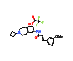 COc1cccc(C=CC(=O)Nc2ccc3c(c2)CCN(C2CCC2)CC3)c1.O=C(O)C(F)(F)F